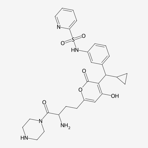 NC(CCc1cc(O)c(C(c2cccc(NS(=O)(=O)c3ccccn3)c2)C2CC2)c(=O)o1)C(=O)N1CCNCC1